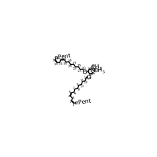 CCCCC/C=C\C/C=C\CCCCCCCCOC1C[N+](C)(C)C[C@H]1OCCCCCCCC/C=C\C/C=C\CCCCC